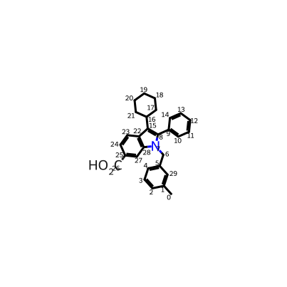 Cc1cccc(Cn2c(-c3ccccc3)c(C3CCCCC3)c3ccc(C(=O)O)cc32)c1